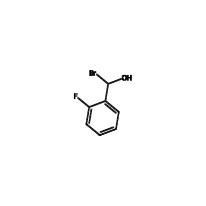 OC(Br)c1ccccc1F